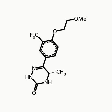 COCCOc1ccc(C2=NNC(=O)N[C@H]2C)cc1C(F)(F)F